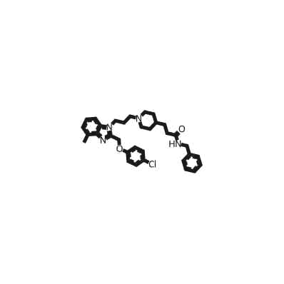 Cc1cccc2c1nc(COc1ccc(Cl)cc1)n2CCCN1CCC(CCC(=O)NCc2ccccc2)CC1